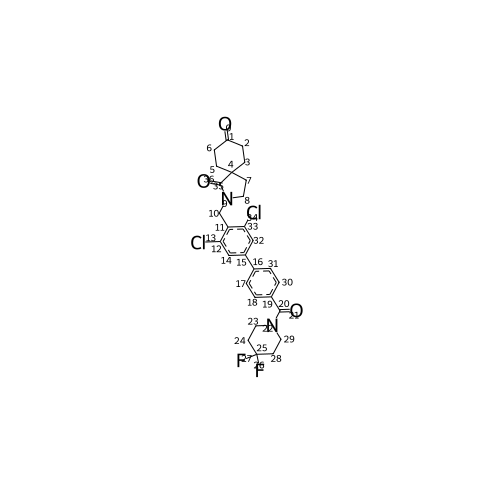 O=C1CCC2(CC1)CCN(Cc1c(Cl)cc(-c3ccc(C(=O)N4CCC(F)(F)CC4)cc3)cc1Cl)C2=O